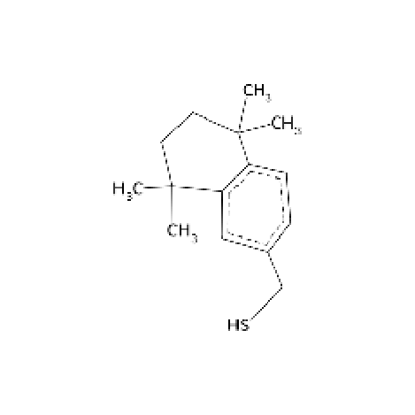 CC1(C)CCC(C)(C)c2cc(CS)ccc21